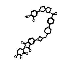 N#Cc1ccc(N2CCC3(CCN(C(=O)c4ccc(N5CCN(CC6CN(c7ccc8c(c7)C(=O)N(C7CCC(=O)NC7=O)C8=O)C6)CC5)cc4)C3)C2)cc1Cl